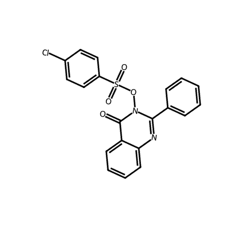 O=c1c2ccccc2nc(-c2ccccc2)n1OS(=O)(=O)c1ccc(Cl)cc1